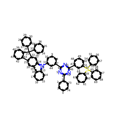 c1ccc(-c2nc(-c3cccc(-n4c5ccccc5c5cc6c(cc54)C(c4ccccc4)(c4ccccc4)c4ccccc4-6)c3)nc(-c3cccc(S(c4ccccc4)(c4ccccc4)c4ccccc4)c3)n2)cc1